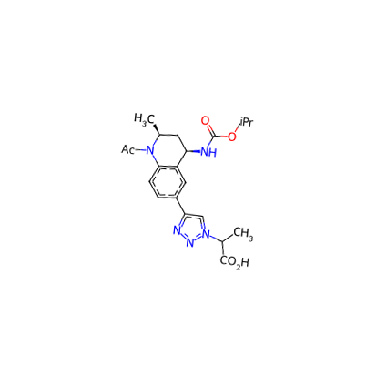 CC(=O)N1c2ccc(-c3cn(C(C)C(=O)O)nn3)cc2[C@H](NC(=O)OC(C)C)C[C@@H]1C